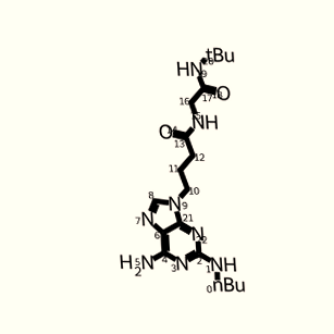 CCCCNc1nc(N)c2ncn(CCCC(=O)NCC(=O)NC(C)(C)C)c2n1